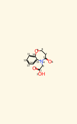 O=C(O)CN1C(=O)CCOc2ccccc21